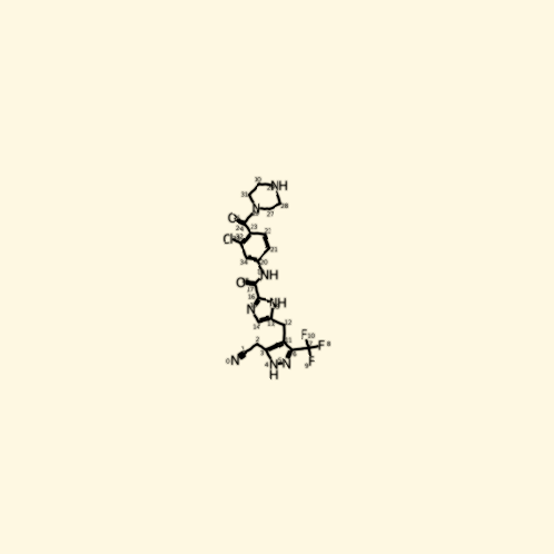 N#CCc1[nH]nc(C(F)(F)F)c1Cc1cnc(C(=O)Nc2ccc(C(=O)N3CCNCC3)c(Cl)c2)[nH]1